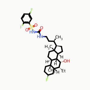 CC[C@H]1[C@@H](O)[C@@H]2[C@H](CC[C@]3(C)[C@@H]([C@H](C)CCNC(=O)NS(=O)(=O)c4cc(F)ccc4F)CC[C@@H]23)[C@@]2(C)CC[C@H](F)C[C@@H]12